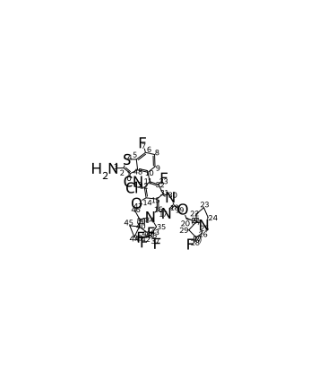 N#Cc1c(N)sc2c(F)ccc(-c3c(Cl)c4c5c(nc(OC[C@@]67CCCN6C[C@H](F)C7)nc5c3F)N(CC(F)F)[C@@H](C3(C(F)F)CC3)CO4)c12